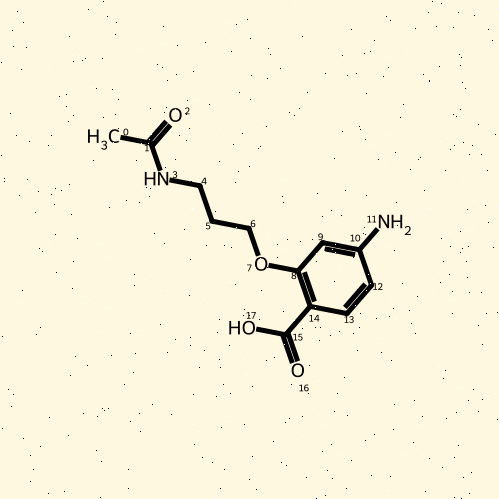 CC(=O)NCCCOc1cc(N)ccc1C(=O)O